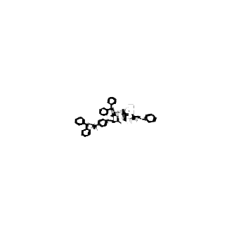 O=C(COc1ccccc1)NC1C(=O)N2C(C(=O)OC(c3ccccc3)c3ccccc3)=C(COc3ccc(C(=O)OC(c4ccccc4)c4ccccc4)cc3)CS[C@H]12